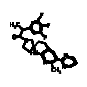 Cc1nc2c(cc1-c1ncccn1)CC[C@@]1(CCN(C(=O)C(C)c3cc(F)c(F)c(F)c3)C1)N2